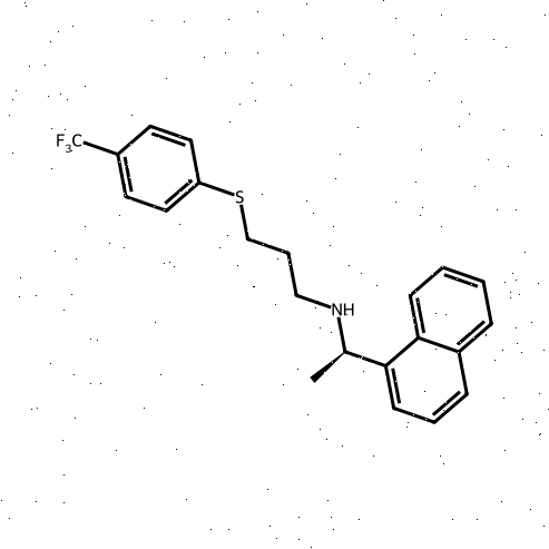 C[C@@H](NCCCSc1ccc(C(F)(F)F)cc1)c1cccc2ccccc12